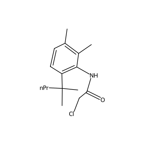 CCCC(C)(C)c1ccc(C)c(C)c1NC(=O)CCl